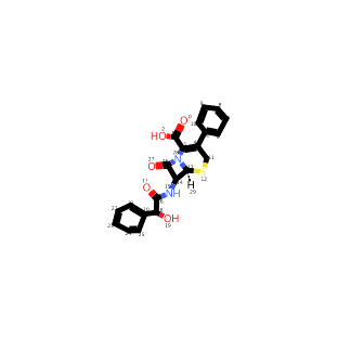 O=C(O)C1=C(c2ccccc2)CS[C@H]2C(NC(=O)C(O)c3ccccc3)C(=O)N12